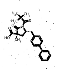 CC(C)(C)C(=O)N1C(=O)[C@@](C)(C(=O)O)C[C@H]1Cc1ccc(-c2ccccc2)cc1